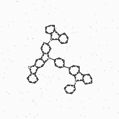 c1ccc(-n2c3ccccc3c3ccc(-c4ccc(-n5c6cc(-n7c8ccccc8c8ccccc87)ccc6c6cc7oc8ccccc8c7cc65)cc4)cc32)cc1